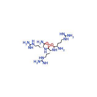 N=C(N)NCCC[C@@H](N)C(=O)N[C@H](CCCNC(=N)N)C(=O)N[C@H](CCCNC(=N)N)C(N)=O